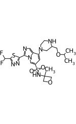 CC(C)OCC1CN(c2cc(S(=O)(=O)NC3(C)COC3)cn3c(-c4nnc(C(F)F)s4)ncc23)CCN1